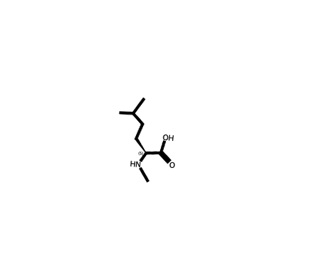 CN[C@@H](CCC(C)C)C(=O)O